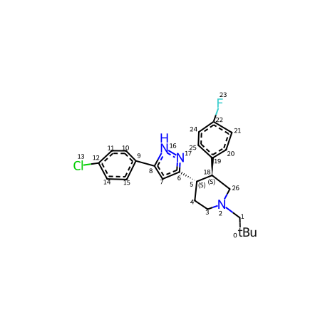 CC(C)(C)CN1CC[C@H](c2cc(-c3ccc(Cl)cc3)[nH]n2)[C@@H](c2ccc(F)cc2)C1